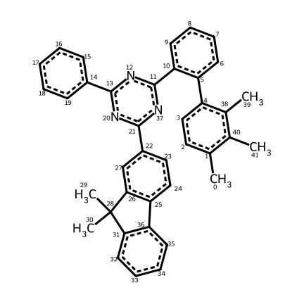 Cc1ccc(-c2ccccc2-c2nc(-c3ccccc3)nc(-c3ccc4c(c3)C(C)(C)c3ccccc3-4)n2)c(C)c1C